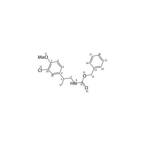 COc1ccc(C(C)CNC(=O)OCc2ccccc2)cc1Cl